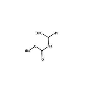 CC(C)C([C]=O)NC(=O)OC(C)(C)C